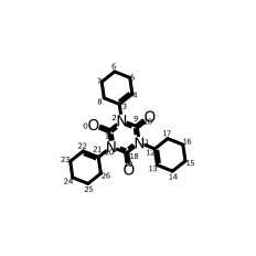 O=c1n(C2=CCCCC2)c(=O)n(C2=CCCCC2)c(=O)n1C1=CCCCC1